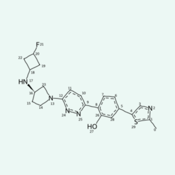 Cc1ncc(-c2ccc(-c3ccc(N4CC[C@@H](NC5CC(F)C5)C4)nn3)c(O)c2)s1